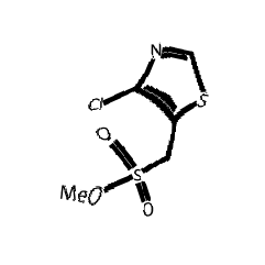 COS(=O)(=O)Cc1scnc1Cl